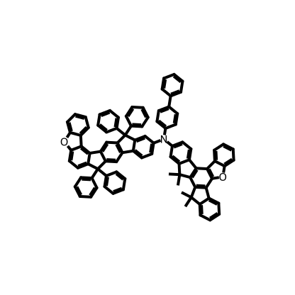 CC1(C)c2ccccc2-c2c1c1c(c3c2oc2ccccc23)-c2ccc(N(c3ccc(-c4ccccc4)cc3)c3ccc4c(c3)C(c3ccccc3)(c3ccccc3)c3cc5c(cc3-4)C(c3ccccc3)(c3ccccc3)c3ccc4oc6ccccc6c4c3-5)cc2C1(C)C